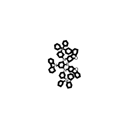 c1ccc([Si](c2ccccc2)(c2ccccc2)c2cccc(N3c4cc5c(cc4B4c6cc7oc8ccccc8c7cc6N(c6cccc([Si](c7ccccc7)(c7ccccc7)c7ccccc7)c6)c6cc(-n7c8ccccc8c8ccccc87)cc3c64)oc3ccccc35)c2)cc1